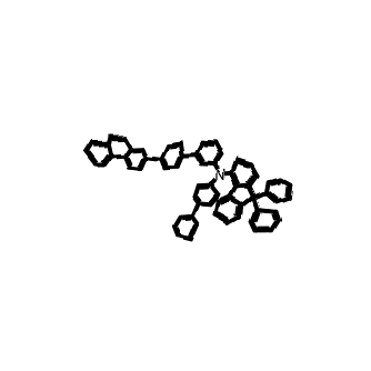 c1ccc(-c2ccc(N(c3cccc(-c4ccc(-c5ccc6c(ccc7ccccc76)c5)cc4)c3)c3cccc4c3-c3ccccc3C4(c3ccccc3)c3ccccc3)cc2)cc1